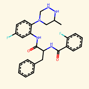 CC1CN(c2ccc(F)cc2NC(=O)C(Cc2ccccc2)NC(=O)c2ccccc2F)CNN1